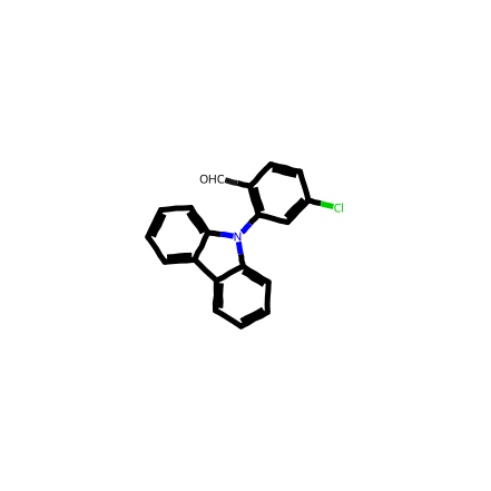 O=Cc1ccc(Cl)cc1-n1c2ccccc2c2ccccc21